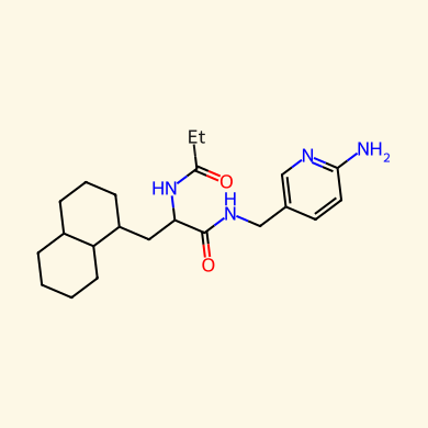 CCC(=O)NC(CC1CCCC2CCCCC21)C(=O)NCc1ccc(N)nc1